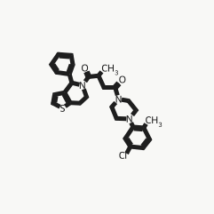 Cc1ccc(Cl)cc1N1CCN(C(=O)CC(C)C(=O)N2CCc3sccc3C2c2ccccc2)CC1